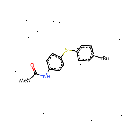 CNC(=O)Nc1ccc(Sc2ccc(C(C)(C)C)cc2)cc1